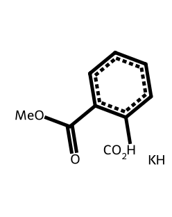 COC(=O)c1ccccc1C(=O)O.[KH]